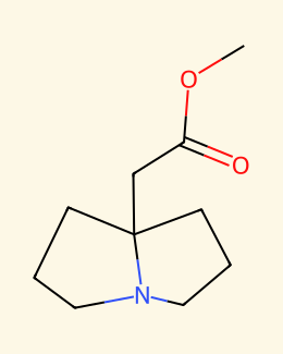 COC(=O)CC12CCCN1CCC2